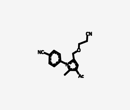 CC(=O)c1cc(COCCC#N)n(-c2ccc(C#N)cc2)c1C